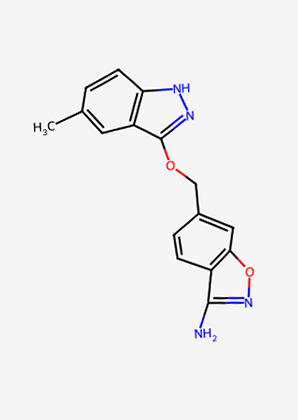 Cc1ccc2[nH]nc(OCc3ccc4c(N)noc4c3)c2c1